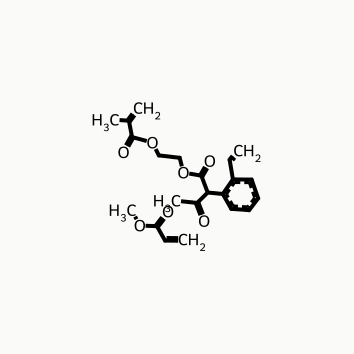 C=CC(=O)OC.C=Cc1ccccc1C(C(C)=O)C(=O)OCCOC(=O)C(=C)C